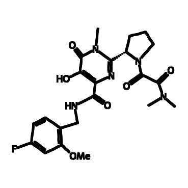 COc1cc(F)ccc1CNC(=O)c1nc([C@@H]2CCCN2C(=O)C(=O)N(C)C)n(C)c(=O)c1O